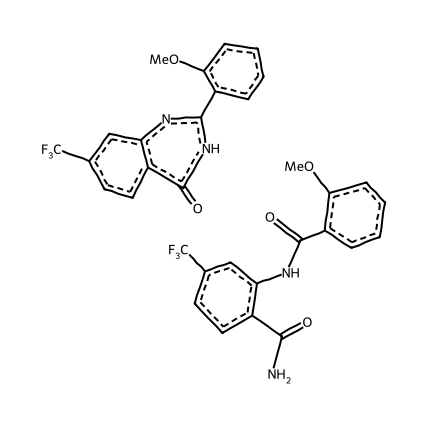 COc1ccccc1-c1nc2cc(C(F)(F)F)ccc2c(=O)[nH]1.COc1ccccc1C(=O)Nc1cc(C(F)(F)F)ccc1C(N)=O